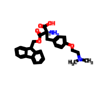 CN(C)CCOc1ccc(C[C@](N)(C(=O)O)C(=O)OCC2c3ccccc3-c3ccccc32)cc1